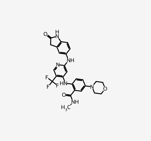 CNC(=O)c1cc(N2CCOCC2)ccc1Nc1cc(Nc2ccc3c(c2)CC(=O)N3)ncc1C(F)(F)F